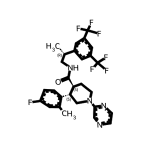 Cc1cc(F)ccc1[C@H]1CN(c2cnccn2)CC[C@@H]1C(=O)NC[C@H](C)c1cc(C(F)(F)F)cc(C(F)(F)F)c1